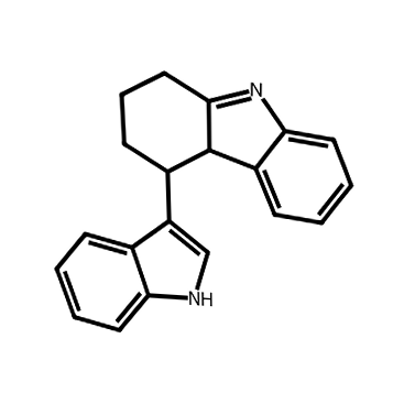 c1ccc2c(c1)N=C1CCCC(c3c[nH]c4ccccc34)C12